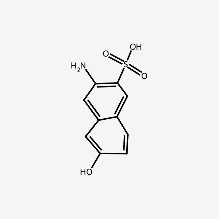 Nc1cc2cc(O)ccc2cc1S(=O)(=O)O